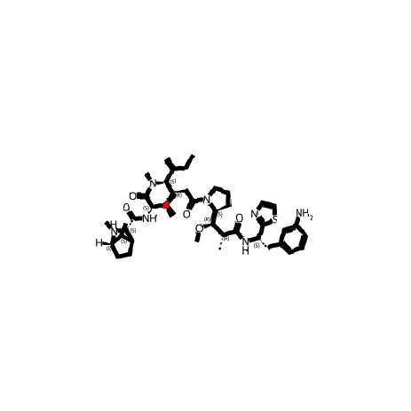 C=C(CC)[C@@H]([C@@H](CC(=O)N1CCC[C@H]1[C@H](OC)[C@@H](C)C(=O)N[C@@H](Cc1cccc(N)c1)c1nccs1)OC)N(C)C(=O)[C@@H](NC(=O)[C@@H]1C2CC[C@@H]([C@H]2C)N1C)C(C)C